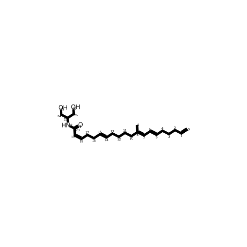 C=CCCC/C=C/C=C(\C)CCCC/C=C/CC/C=C\C(=O)NC(CO)CO